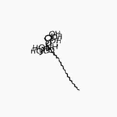 CCCCCCCCCCCCCCCCCCCCCCCCOC(=O)NC(COC1CCCCC(O)C(O)C1O)C(O)CC(O)CC